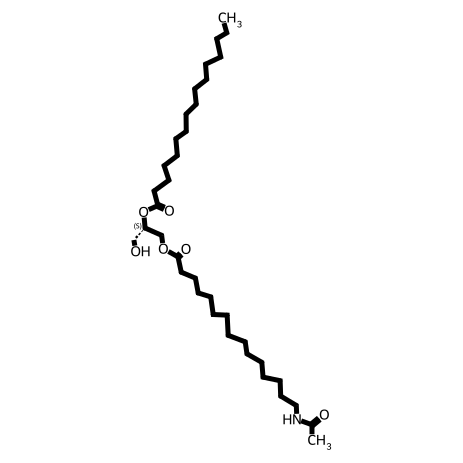 CCCCCCCCCCCCCCCC(=O)O[C@@H](CO)COC(=O)CCCCCCCCCCCCCCNC(C)=O